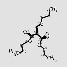 CCCOC=C(C(=O)OCCC)C(=O)OCCC